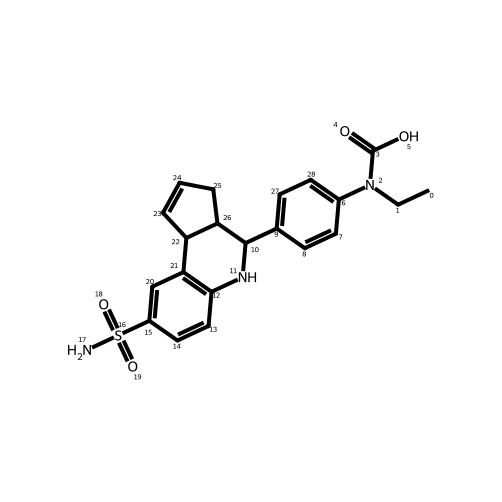 CCN(C(=O)O)c1ccc(C2Nc3ccc(S(N)(=O)=O)cc3C3C=CCC32)cc1